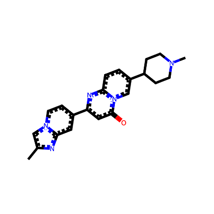 Cc1cn2ccc(-c3cc(=O)n4cc(C5CCN(C)CC5)ccc4n3)cc2n1